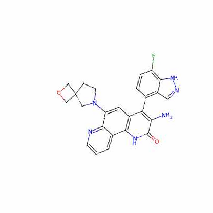 Nc1c(-c2ccc(F)c3[nH]ncc23)c2cc(N3CCC4(COC4)C3)c3ncccc3c2[nH]c1=O